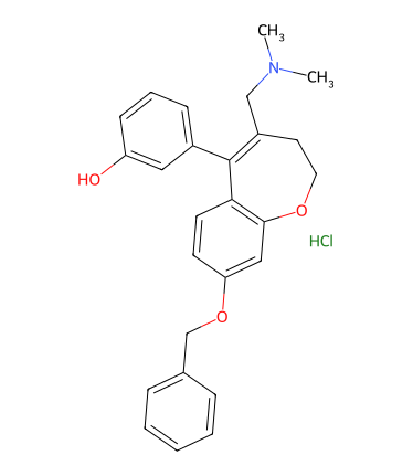 CN(C)CC1=C(c2cccc(O)c2)c2ccc(OCc3ccccc3)cc2OCC1.Cl